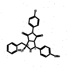 COc1ccc([C@H]2N[C@@](Cc3ccccc3)(C(=O)O)C3C(=O)N(c4ccc(Cl)cc4)C(=O)C32)cc1